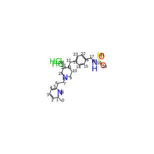 Cc1cccc(CCN2CCC(Cc3ccc(CN[SH](=O)=O)cc3)CC2)n1.Cl.Cl